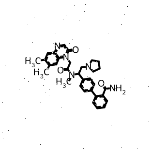 Cc1cc2ncc(=O)n(CC(=O)N(C)C(CN3CCCC3)c3ccc(-c4ccccc4C(N)=O)cc3)c2cc1C